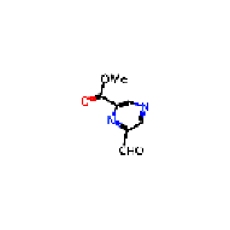 COC(=O)c1cncc(C=O)n1